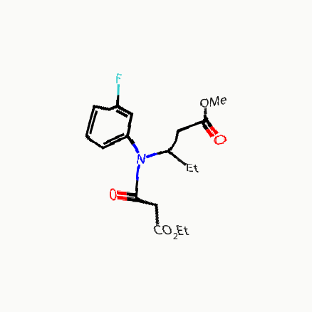 CCOC(=O)CC(=O)N(c1cccc(F)c1)C(CC)CC(=O)OC